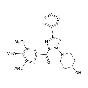 COc1cc(C(=O)c2nn(-c3ccccc3)nc2N2CCC(O)CC2)cc(OC)c1OC